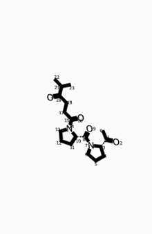 CC(=O)[C@@H]1CCCN1C(=O)[C@@H]1CCCN1C(=O)CCC(=O)C(C)C